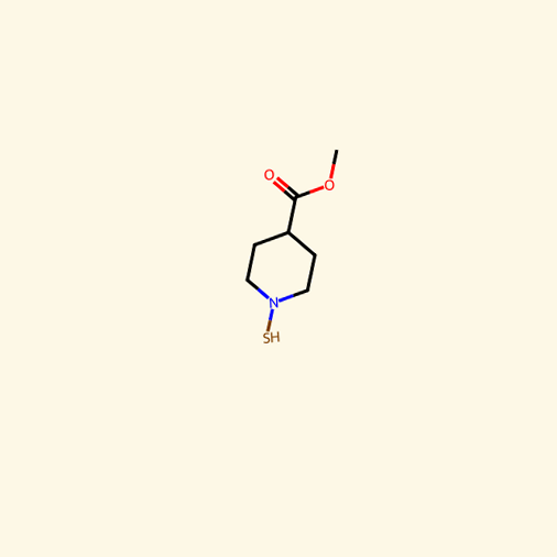 COC(=O)C1CCN(S)CC1